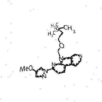 COc1cnn(-c2ccc3c4ccncc4n(COCC[Si](C)(C)C)c3n2)c1